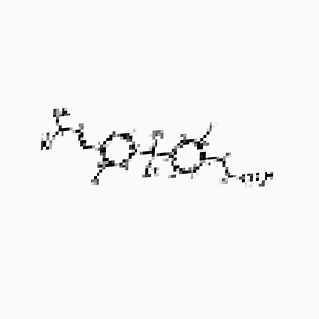 CCC(CC)(c1ccc(C=CC(O)C(C)(C)C)c(C)c1)c1ccc(CCC(=O)O)c(C)c1